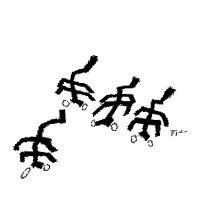 CCCC(CC)(CC)C(CC)(CC)C(=O)[O-].CCCC(CC)(CC)C(CC)(CC)C(=O)[O-].CCCC(CC)(CC)C(CC)(CC)C(=O)[O-].CCCC(CC)(CC)C(CC)(CC)C(=O)[O-].[Ti+4]